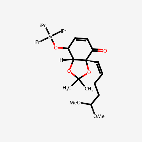 COC(CC/C=C\[C@@]12OC(C)(C)O[C@@H]1C(O[Si](C(C)C)(C(C)C)C(C)C)C=CC2=O)OC